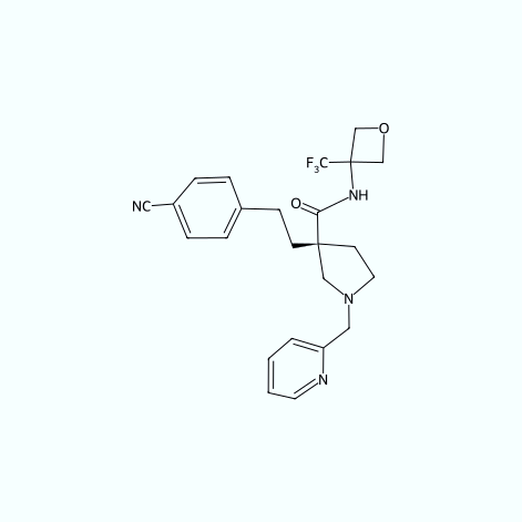 N#Cc1ccc(CC[C@@]2(C(=O)NC3(C(F)(F)F)COC3)CCN(Cc3ccccn3)C2)cc1